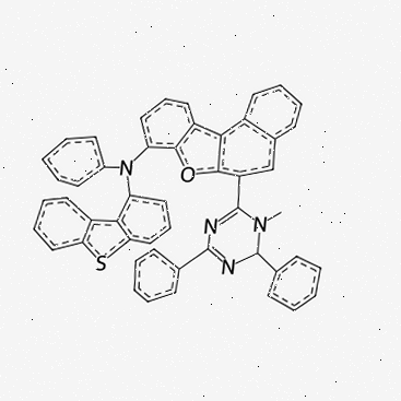 CN1C(c2cc3ccccc3c3c2oc2c(N(c4ccccc4)c4cccc5sc6ccccc6c45)cccc23)=NC(c2ccccc2)=NC1c1ccccc1